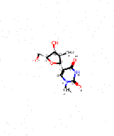 CC(=O)O[C@@H]1[C@H](O)[C@@H](CO)O[C@H]1c1cn(C)c(=O)[nH]c1=O